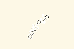 CC(NC(=S)Nc1ccc(NC(=O)c2ccccc2F)cc1)c1ccc2ccccc2c1